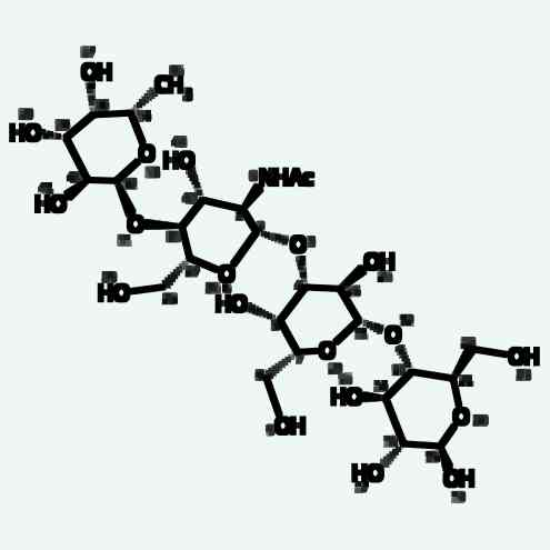 CC(=O)N[C@H]1[C@H](O[C@H]2[C@@H](O)[C@@H](CO)O[C@@H](O[C@H]3[C@H](O)[C@@H](O)[C@H](O)O[C@@H]3CO)[C@@H]2O)O[C@H](CO)[C@@H](O[C@@H]2O[C@@H](C)[C@@H](O)[C@@H](O)[C@@H]2O)[C@@H]1O